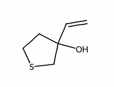 C=CC1(O)CCSC1